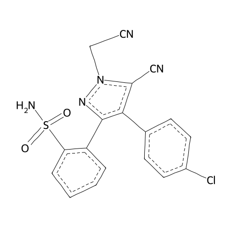 N#CCn1nc(-c2ccccc2S(N)(=O)=O)c(-c2ccc(Cl)cc2)c1C#N